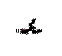 COc1ccc(C(=O)Cn2cc(COc3cc(/C=C/c4cc5c(c(OC)c4)O[C@]4(C)C[C@@H](O)[C@@H](O)C(C)(C)[C@H]4C5)cc(OCc4cn(CC(=O)c5ccc(OC)cc5)nn4)c3CC=C(C)C)nn2)cc1